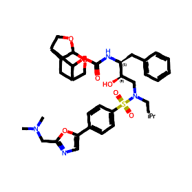 CC(C)CN(C[C@@H](O)[C@H](Cc1ccccc1)NC(=O)OC1C2COC3OCC1C3C2)S(=O)(=O)c1ccc(-c2cnc(CN(C)C)o2)cc1